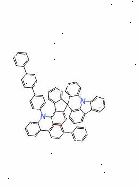 c1ccc(-c2ccc(-c3ccc(N(c4ccccc4-c4ccc(-c5ccccc5)cc4)c4cccc5c4-c4ccccc4C54c5ccccc5-n5c6ccccc6c6cccc4c65)cc3)cc2)cc1